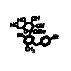 CCc1ccc(Cc2cc([C@]3(OC)O[C@H](CO)[C@@H](O)[C@H](O)[C@H]3O)c(Br)cc2C)cc1